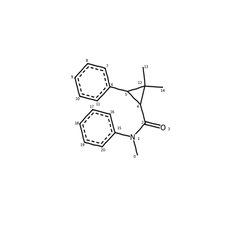 CN(C(=O)C1C(c2ccccc2)C1(C)C)c1ccccc1